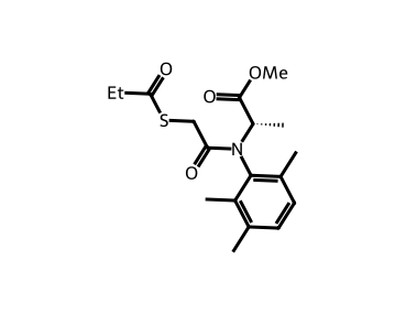 CCC(=O)SCC(=O)N(c1c(C)ccc(C)c1C)[C@@H](C)C(=O)OC